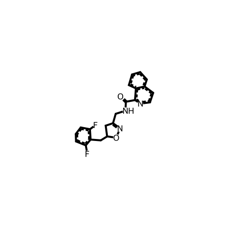 O=C(NCC1=NOC(Cc2c(F)cccc2F)C1)c1nccc2ccccc12